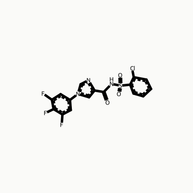 O=C(NS(=O)(=O)c1ccccc1Cl)c1cn(-c2cc(F)c(F)c(F)c2)cn1